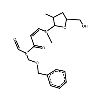 CC1CC(CO)OC1N(C)/C=C\C(=O)N(C=O)COCc1ccccc1